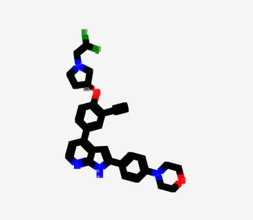 C#Cc1cc(-c2ccnc3[nH]c(-c4ccc(N5CCOCC5)cc4)cc23)ccc1O[C@@H]1CCN(CC(F)F)C1